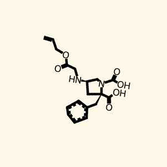 C=CCOC(=O)CN[C@H]1CN(C(=O)O)[C@](Cc2ccccc2)(C(=O)O)C1